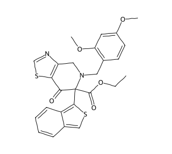 CCOC(=O)C1(c2scc3ccccc23)C(=O)c2scnc2CN1Cc1ccc(OC)cc1OC